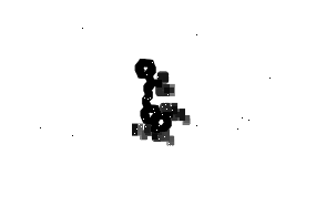 CC1(C)CCC(C)(C)c2cc(CCC=C(C(=O)O)c3ccccc3)ccc21